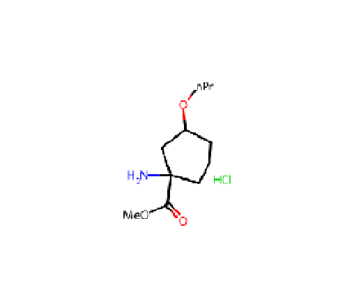 CCCOC1CCCC(N)(C(=O)OC)C1.Cl